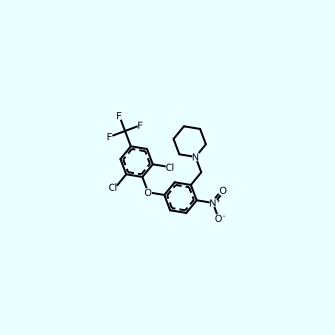 O=[N+]([O-])c1ccc(Oc2c(Cl)cc(C(F)(F)F)cc2Cl)cc1CN1CCCCC1